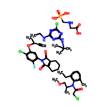 C#CC(C)Oc1cc(N2C(=O)C3=C(CCCC3)C2=O)c(F)cc1Cl.CCNc1nc(Cl)nc(NC(C)(C)C)n1.CCc1cccc(C)c1N(C(=O)CCl)C(C)COC.O=C(O)CNCP(=O)(O)O